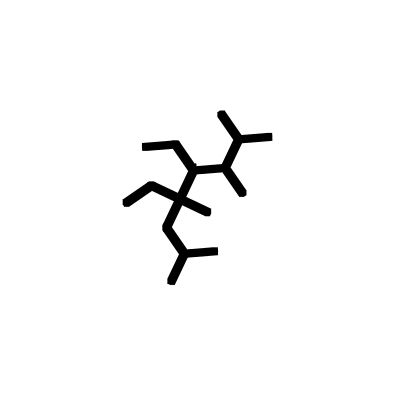 CC[C](C(C)C(C)C)C(C)(CC)CC(C)C